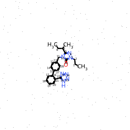 CCCn1nc(C(C)CC)n(Cc2ccc(-c3ccccc3-c3nnn[nH]3)cc2)c1=O